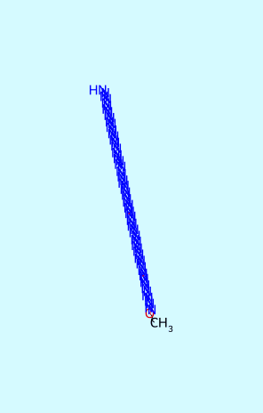 CCCON=NN=NN=NN=NN=NN=NN=NN=NN=NN=NN=NN=NN=NN=NN=NN=NN=NN=NN=NN=NN=NN=NN=NN=NN=NN=NN=NN=NN=NN=NN=NN=NN=NN=NN=NN=N